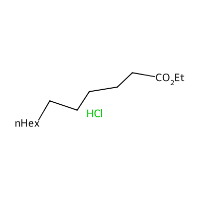 CCCCCCCCCCCC(=O)OCC.Cl